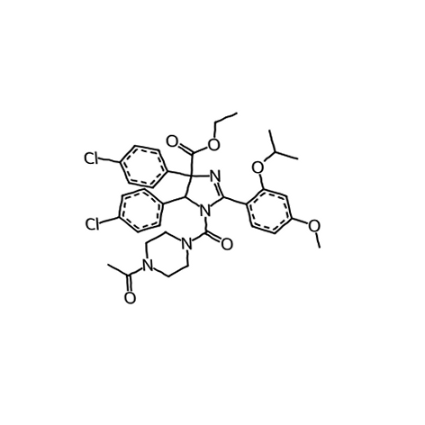 CCOC(=O)C1(c2ccc(Cl)cc2)N=C(c2ccc(OC)cc2OC(C)C)N(C(=O)N2CCN(C(C)=O)CC2)C1c1ccc(Cl)cc1